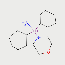 N[PH](C1CCCCC1)(C1CCCCC1)N1CCOCC1